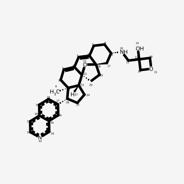 C[C@]12CC=C3C=C4CC[C@H](NCC5(O)COC5)C[C@]45CC[C@]3(O5)[C@@H]1CC[C@@H]2c1ccc2ccncc2c1